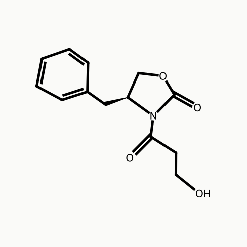 O=C(CCO)N1C(=O)OC[C@@H]1Cc1ccccc1